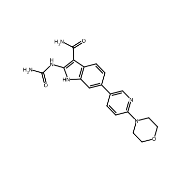 NC(=O)Nc1[nH]c2cc(-c3ccc(N4CCOCC4)nc3)ccc2c1C(N)=O